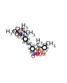 Cc1ccc(S(=O)(=O)O)c(C(C)Oc2cc(/C=C/c3ccc(N(C(=O)OC(C)(C)C)C(C)C)cc3)ccc2[N+](=O)[O-])c1